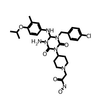 Cc1cc(NC2N(N)C(=O)N(C3CCN(CC(=O)N=O)CC3)C(=O)N2Cc2ccc(Cl)cc2)ccc1OC(C)C